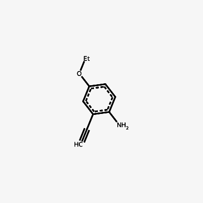 C#Cc1cc(OCC)ccc1N